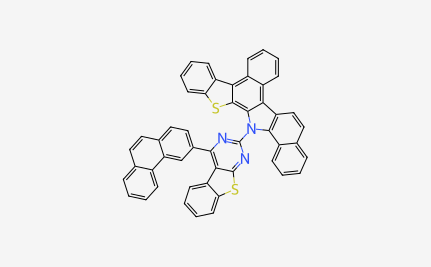 c1ccc2c(c1)ccc1ccc(-c3nc(-n4c5c6ccccc6ccc5c5c6ccccc6c6c7ccccc7sc6c54)nc4sc5ccccc5c34)cc12